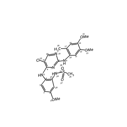 COc1ccc(Nc2nc(Nc3cc(OC)c(OC)cc3C)ncc2Cl)c(NS(C)(=O)=O)c1